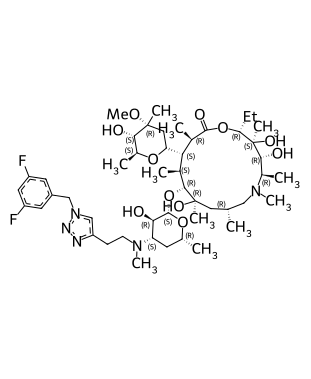 CC[C@H]1OC(=O)[C@H](C)[C@@H](C2C[C@@](C)(OC)[C@@H](O)[C@H](C)O2)[C@H](C)[C@@H](O[C@@H]2O[C@H](C)C[C@H](N(C)CCc3cn(Cc4cc(F)cc(F)c4)nn3)[C@H]2O)[C@](C)(O)C[C@@H](C)CN(C)[C@H](C)[C@@H](O)[C@]1(C)O